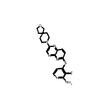 Nc1nccc(Sc2ccc3nc(N4CCC5(CCOC5)CC4)cnc3n2)c1F